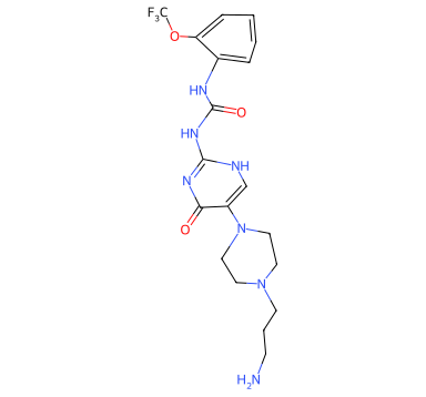 NCCCN1CCN(c2c[nH]c(NC(=O)Nc3ccccc3OC(F)(F)F)nc2=O)CC1